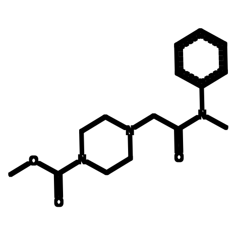 COC(=O)N1CCN(CC(=O)N(C)c2ccccc2)CC1